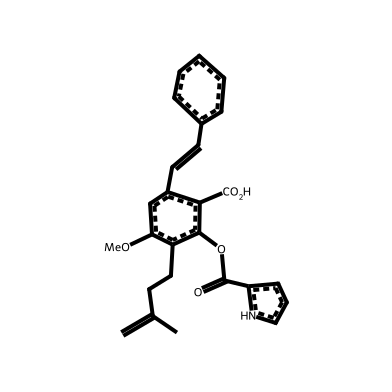 C=C(C)CCc1c(OC)cc(C=Cc2ccccc2)c(C(=O)O)c1OC(=O)c1ccc[nH]1